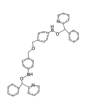 B(OC(c1ccccc1)c1ccccn1)c1ccc(COCc2ccc(BOC(c3ccccc3)c3ccccn3)cc2)cc1